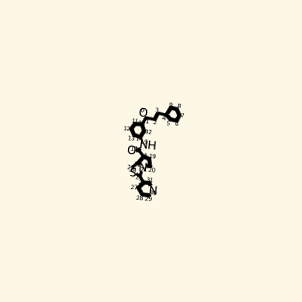 O=C(/C=C/c1ccccc1)c1cccc(NC(=O)c2ccn3c2CSC3c2cccnc2)c1